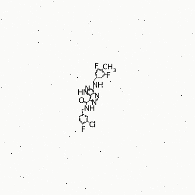 Cc1c(F)cc(CNc2n[nH]c3c(C(=O)NCc4ccc(F)c(Cl)c4)ncnc23)cc1F